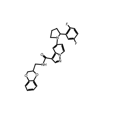 O=C(NCC1COc2ccccc2O1)c1cnn2ccc(N3CCCC3c3cc(F)ccc3F)cc12